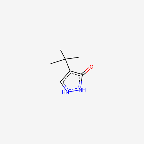 CC(C)(C)c1c[nH][nH]c1=O